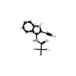 CC(F)(F)C(=O)Nc1c(C#N)oc2ccccc12